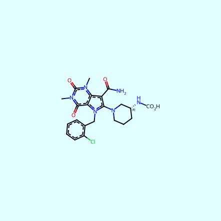 Cn1c(=O)c2c(c(C(N)=O)c(N3CCC[C@@H](NC(=O)O)C3)n2Cc2ccccc2Cl)n(C)c1=O